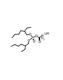 CCCCC(CC)COP(=O)(OCC(CC)CCCC)OC(N)=O.[LiH]